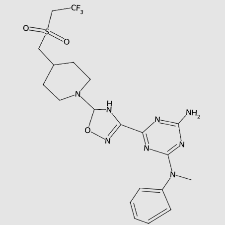 CN(c1ccccc1)c1nc(N)nc(C2=NOC(N3CCC(CS(=O)(=O)CC(F)(F)F)CC3)N2)n1